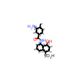 Cc1ccc(C(=O)Nc2cccc3c(S(=O)(=O)O)ccc(O)c23)cc1N